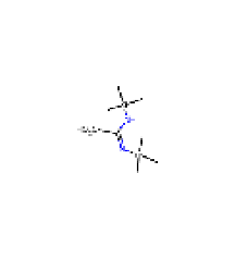 C[Si](C)(C)N=C(N[Si](C)(C)C)C(=O)O